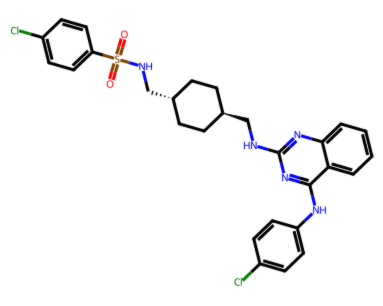 O=S(=O)(NC[C@H]1CC[C@H](CNc2nc(Nc3ccc(Cl)cc3)c3ccccc3n2)CC1)c1ccc(Cl)cc1